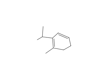 CC1=C(C(C)C)C=CCC1